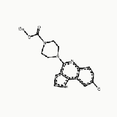 CC(C)(C)OC(=O)N1CCN(c2nc3ccc(Cl)cc3c3[nH]ccc23)CC1